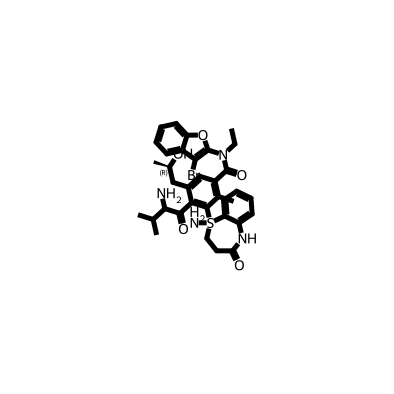 CCN(C(=O)c1cc(C[C@@H](C)O)c(C(=O)C(N)C(C)C)c(S2(N)CCC(=O)Nc3ccccc32)c1C)c1oc2ccccc2c1Br